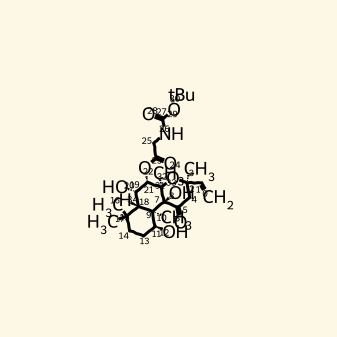 C=C[C@@]1(C)CC(=O)[C@]2(O)[C@@]3(C)[C@@H](O)CCC(C)(C)[C@@H]3[C@H](O)[C@H](OC(=O)CNC(=O)OC(C)(C)C)[C@@]2(C)O1